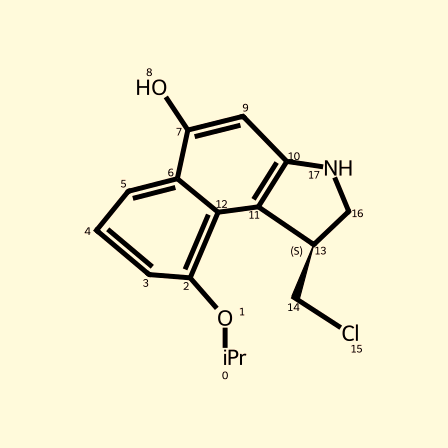 CC(C)Oc1cccc2c(O)cc3c(c12)[C@H](CCl)CN3